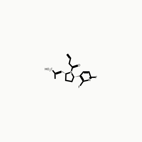 C=CCC(=O)N1[C@@H](/C=C(\C)C(=O)O)CC[C@H]1c1ccc(F)nc1F